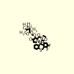 CC(C)C(C)(N)C(=O)OCOc1c2n(ccc1=O)N([C@@H]1c3ccccc3SCc3c1ccc(F)c3F)[C@@H]1COCCN1C2=O